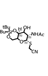 CC(=O)N[C@H]1C(O)[C@@H]2O[Si](C(C)(C)C)(C(C)(C)C)OCC2O[C@H]1SCC#N